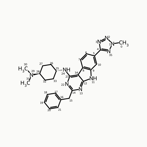 Cn1nnc(-c2ccc3c(c2)[nH]c2nc(Cc4ccccc4)nc(N[C@H]4CC[C@H](N(C)C)CC4)c23)n1